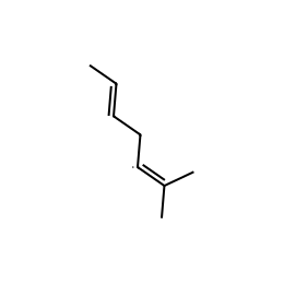 CC=CC[C]=C(C)C